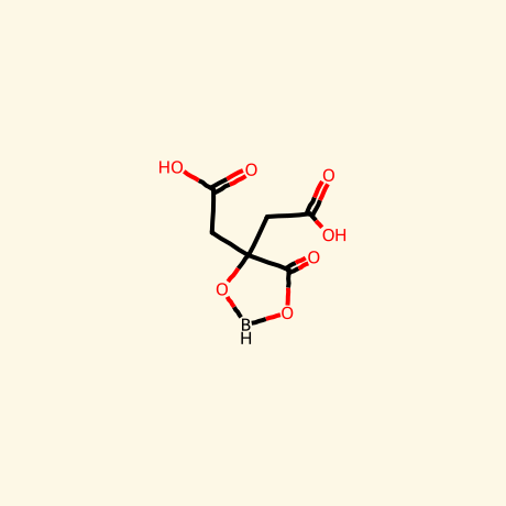 O=C(O)CC1(CC(=O)O)OBOC1=O